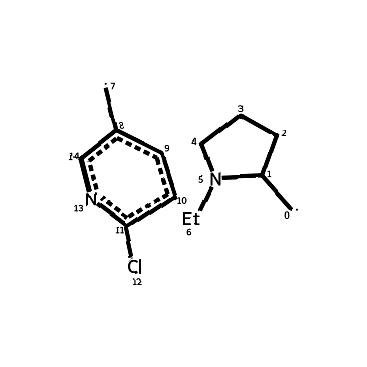 [CH2]C1CCCN1CC.[CH2]c1ccc(Cl)nc1